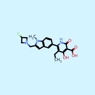 CCc1c(-c2ccc3c(c2)cc(CN2CC(F)C2)n3C)[nH]c(=O)c(C(=O)O)c1O